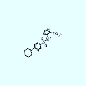 O=C(O)c1ncsc1NS(=O)(=O)c1ccc(N2CCCCC2)nc1